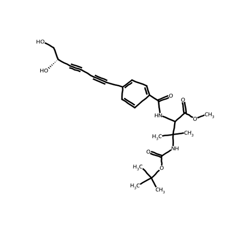 COC(=O)C(NC(=O)c1ccc(C#CC#C[C@H](O)CO)cc1)C(C)(C)NC(=O)OC(C)(C)C